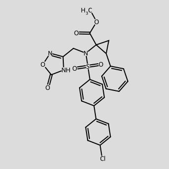 COC(=O)C1(N(Cc2noc(=O)[nH]2)S(=O)(=O)c2ccc(-c3ccc(Cl)cc3)cc2)CC1c1ccccc1